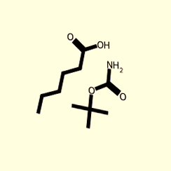 CC(C)(C)OC(N)=O.CCCCCC(=O)O